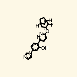 Oc1cc(-n2ccnc2)ccc1-c1ccc(O[C@H]2C[C@@H]3CC[C@@H](C3)[C@H]2F)nn1